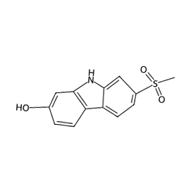 CS(=O)(=O)c1ccc2c(c1)[nH]c1cc(O)ccc12